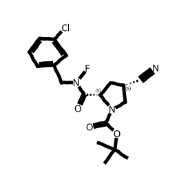 CC(C)(C)OC(=O)N1C[C@@H](C#N)C[C@H]1C(=O)N(F)Cc1cccc(Cl)c1